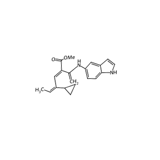 C=C(Nc1ccc2[nH]ccc2c1)/C(=C\C(=C/C)C1CC1)C(=O)OC